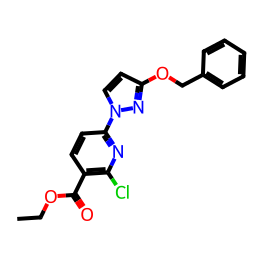 CCOC(=O)c1ccc(-n2ccc(OCc3ccccc3)n2)nc1Cl